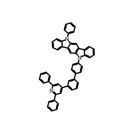 c1ccc(-c2cc(-c3cccc(-c4ccc(-n5c6ccccc6c6cc7c(cc65)c5ccccc5n7-c5ccccc5)cc4)c3)cc(-c3ccccc3)n2)cc1